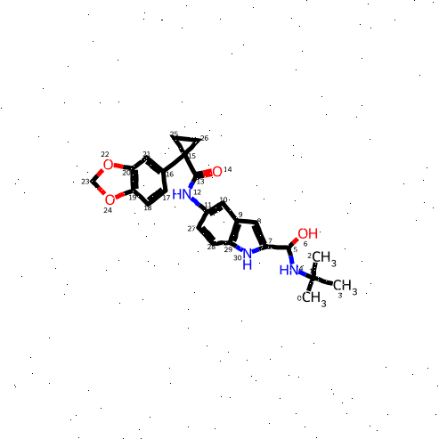 CC(C)(C)NC(O)c1cc2cc(NC(=O)C3(c4ccc5c(c4)OCO5)CC3)ccc2[nH]1